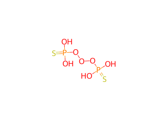 OP(O)(=S)OOOP(O)(O)=S